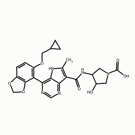 Cc1[nH]c2c(-c3c(OCC4CC4)ccc4c3OCO4)ncnc2c1C(=O)NC1CN(C(=O)O)CC1O